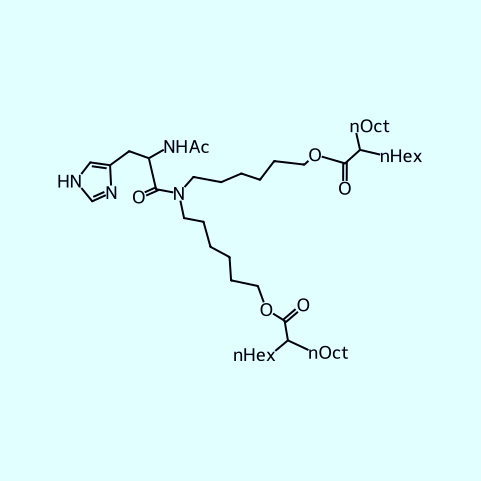 CCCCCCCCC(CCCCCC)C(=O)OCCCCCCN(CCCCCCOC(=O)C(CCCCCC)CCCCCCCC)C(=O)C(Cc1c[nH]cn1)NC(C)=O